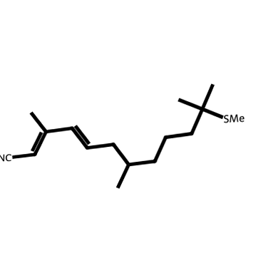 CSC(C)(C)CCCC(C)CC=CC(C)=CC#N